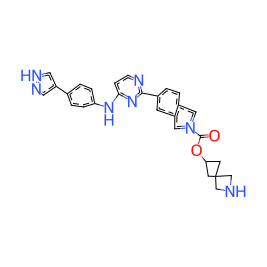 O=C(OC1CC2(CNC2)C1)n1cc2ccc(-c3nccc(Nc4ccc(-c5cn[nH]c5)cc4)n3)cc2c1